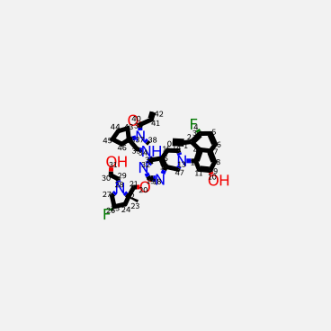 C#Cc1c(F)ccc2cc(O)cc(N3CCc4c(nc(OC[C@]5(C)C[C@@H](F)CN5CCO)nc4NCC4(N(C)C(=O)C=C)CCCC4)C3)c12